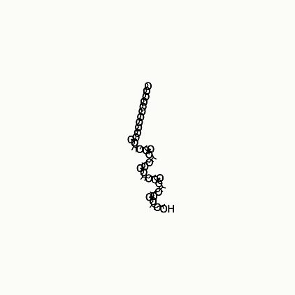 COCOCOCOCOCOCOCOCOCOCOC(=O)OCC(C)C(C)(C)OCC(C)OC(=O)OCC(C)C(C)(C)OCC(C)OC(=O)OCC(C)C(C)(C)OCC(C)OC(=O)OCC(C)C(C)(C)OCC(C)OC(=O)OCC(C)C(C)(C)OCC(C)O